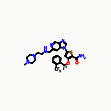 C[C@@H](Oc1cc(-n2cnc3cnc(CNCCN4CCN(C)CC4)cc32)sc1C(N)=O)c1ccccc1C(F)(F)F